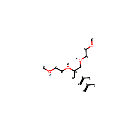 C=CC.C=CC.COCCOCC(C)OCCOC